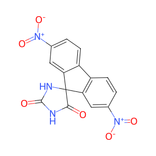 O=C1NC(=O)C2(N1)c1cc([N+](=O)[O-])ccc1-c1ccc([N+](=O)[O-])cc12